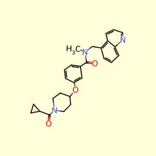 CN(Cc1cccc2ncccc12)C(=O)c1cccc(OC2CCN(C(=O)C3CC3)CC2)c1